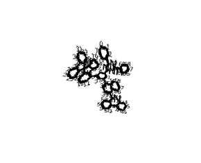 c1ccc(C2=NC(c3cc(-c4cccc5c4-c4ccccc4C54c5ccccc5-c5ccccc54)cc(-c4ccc(-c5nc6ccccc6c6ccccc56)c5ccccc45)c3)NC(c3ccccc3)=N2)cc1